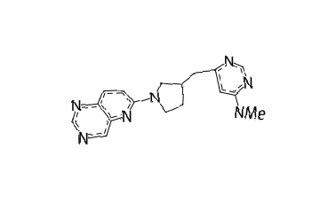 CNc1cc(CC2CCN(c3ccc4ncncc4n3)C2)ncn1